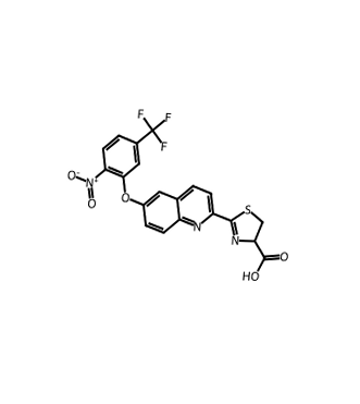 O=C(O)C1CSC(c2ccc3cc(Oc4cc(C(F)(F)F)ccc4[N+](=O)[O-])ccc3n2)=N1